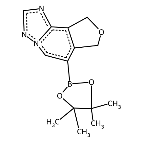 CC1(C)OB(c2cn3ncnc3c3c2COC3)OC1(C)C